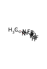 CCCC1CCC(c2cnc(-c3ccc(-c4cc(F)c(C(F)(F)Oc5cc(F)c(F)c(F)c5)c(F)c4)c(F)c3)nc2)CC1